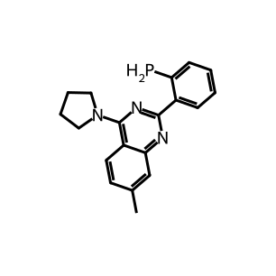 Cc1ccc2c(N3CCCC3)nc(-c3ccccc3P)nc2c1